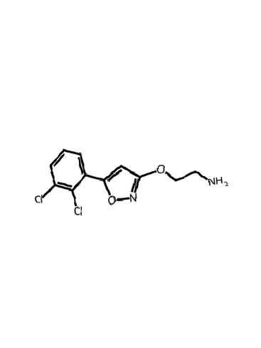 NCCOc1cc(-c2cccc(Cl)c2Cl)on1